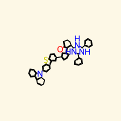 C1=Cc2c(n(-c3ccc4c(c3)sc3ccc(-c5cccc6c7c(oc56)=CCCC=7C5NC(c6ccccc6)NC(c6ccccc6)N5)cc34)c3ccccc23)CC1